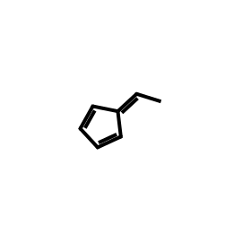 CC=C1C=CC=C1